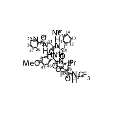 COc1ccc(C(NC(=O)C(Cc2cccc(C#N)c2)NC(=O)CNC(=O)c2ccccn2)C(=O)NC(C(=O)C(F)(F)C(=O)NCC(F)(F)F)C(C)C)cc1